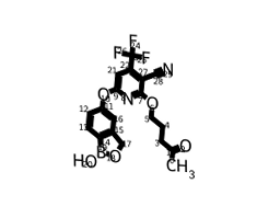 CC(=O)CCCOc1nc(Oc2ccc3c(c2)COB3O)cc(C(F)(F)F)c1C#N